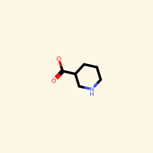 [O]C(=O)C1CCCNC1